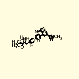 Cn1cc(-c2cc(-c3ccc(N4C[C@@H]5[C@@H](CNC(=O)C(C)(C)C)[C@@H]5C4)nc3)c3c(C#N)cnn3c2)cn1